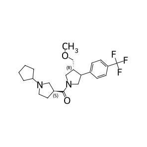 COC[C@H]1CN(C(=O)[C@H]2CCN(C3CCCC3)C2)CC1c1ccc(C(F)(F)F)cc1